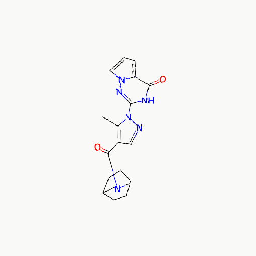 Cc1c(C(=O)N2CC3CCC(CC3)C2)cnn1-c1nn2cccc2c(=O)[nH]1